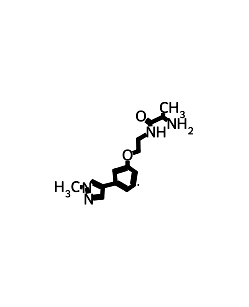 CC(N)C(=O)NCCOc1c[c]cc(-c2cnn(C)c2)c1